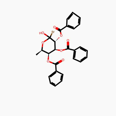 C[C@H]1OC(O)(Br)[C@H](OC(=O)c2ccccc2)[C@@H](OC(=O)c2ccccc2)[C@H]1OC(=O)c1ccccc1